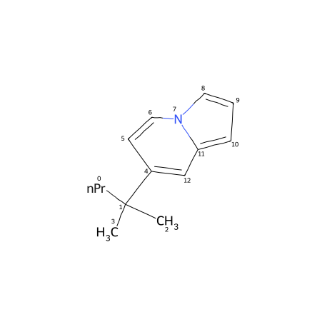 CCCC(C)(C)c1ccn2cccc2c1